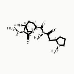 CN1CCCC1CC(=O)N(N)C(=O)[C@@H]1CC[C@@H]2CN1C(=O)N2OS(=O)(=O)O